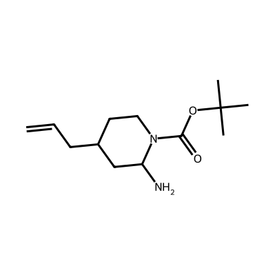 C=CCC1CCN(C(=O)OC(C)(C)C)C(N)C1